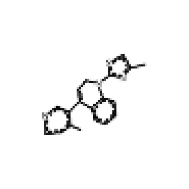 Cc1csc(N2CC=C(c3cnccc3C)c3ccccc32)n1